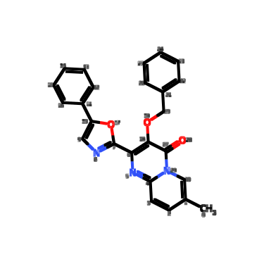 Cc1ccc2nc(-c3ncc(-c4ccccc4)o3)c(OCc3ccccc3)c(=O)n2c1